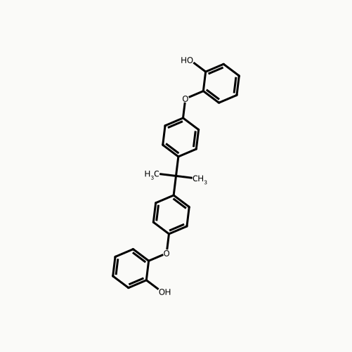 CC(C)(c1ccc(Oc2ccccc2O)cc1)c1ccc(Oc2ccccc2O)cc1